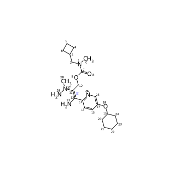 CN(CC1CCC1)C(=O)OC/C(=C(/N)c1ccc(OC2CCCCC2)cn1)N(C)N